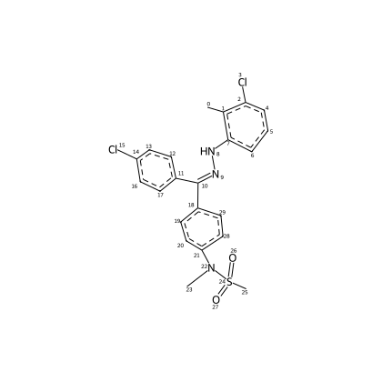 Cc1c(Cl)cccc1N/N=C(\c1ccc(Cl)cc1)c1ccc(N(C)S(C)(=O)=O)cc1